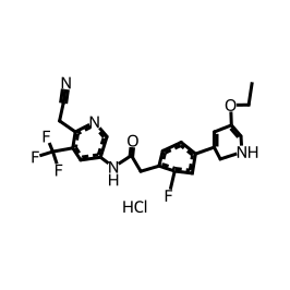 CCOC1=CNCC(c2ccc(CC(=O)Nc3cnc(CC#N)c(C(F)(F)F)c3)c(F)c2)=C1.Cl